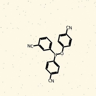 N#Cc1ccc(ON(c2ccc(C#N)cc2)c2cccc(C#N)c2)cc1